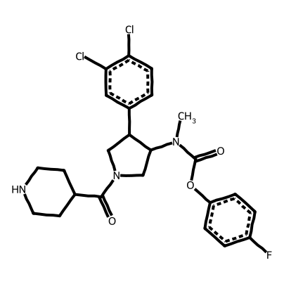 CN(C(=O)Oc1ccc(F)cc1)C1CN(C(=O)C2CCNCC2)CC1c1ccc(Cl)c(Cl)c1